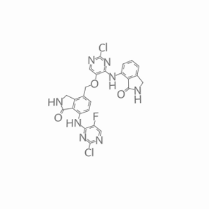 O=C1NCc2cccc(Nc3nc(Cl)ncc3OCc3ccc(Nc4nc(Cl)ncc4F)c4c3CNC4=O)c21